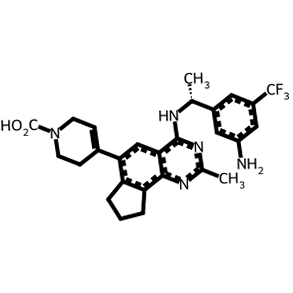 Cc1nc(N[C@H](C)c2cc(N)cc(C(F)(F)F)c2)c2cc(C3=CCN(C(=O)O)CC3)c3c(c2n1)CCC3